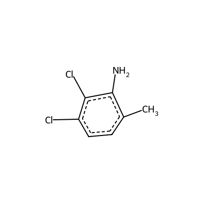 Cc1ccc(Cl)c(Cl)c1N